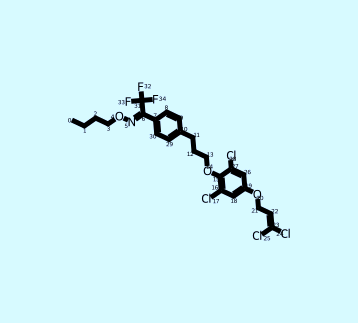 CCCCON=C(c1ccc(CCCOc2c(Cl)cc(OCC=C(Cl)Cl)cc2Cl)cc1)C(F)(F)F